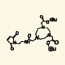 CC(C)(C)OC(=O)CN1CCN(CC(=O)NCCN2C(=O)C=CC2=O)CCN(CC(=O)OC(C)(C)C)CC1